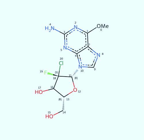 COc1nc(N)nc2c1ncn2[C@@H]1O[C@H](CO)C(O)[C@]1(F)Cl